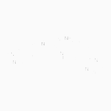 Cn1cc(-c2ccc(C(=O)Nc3cc(-c4ncon4)ccc3N)nc2)cn1